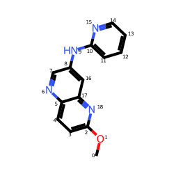 COc1ccc2ncc(Nc3ccccn3)cc2n1